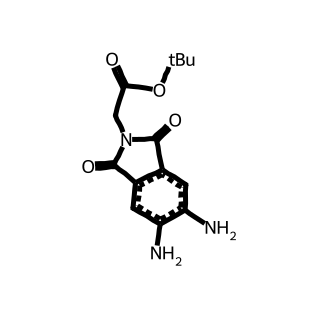 CC(C)(C)OC(=O)CN1C(=O)c2cc(N)c(N)cc2C1=O